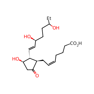 CCC(O)CC[C@H](O)/C=C/[C@H]1[C@H](O)CC(=O)[C@@H]1C/C=C\CCCC(=O)O